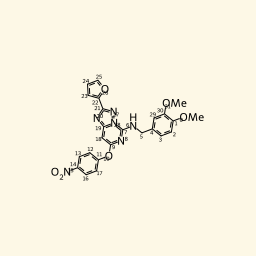 COc1ccc(CNc2nc(Oc3ccc([N+](=O)[O-])cc3)cc3nc(-c4ccco4)nn23)cc1OC